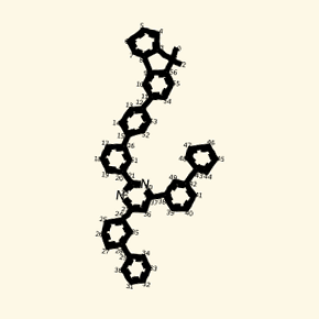 CC1(C)c2ccccc2-c2cc(-c3ccc(-c4cccc(-c5nc(-c6cccc(-c7ccccc7)c6)cc(-c6cccc(-c7ccccc7)c6)n5)c4)cc3)ccc21